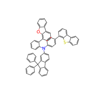 c1ccc(C2(c3ccccc3)c3ccccc3-c3ccc(N(c4ccc(-c5cccc6c5sc5ccccc56)cc4)c4ccccc4-c4cccc5c4oc4ccccc45)cc32)cc1